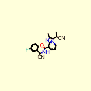 Cc1nc2c(C(=O)NC(C#N)c3cccc(F)c3)cccn2c1C(C)C#N